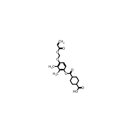 C=CC(=O)OCOc1ccc(OC(=O)C2CCC(C(=O)O)CC2)c(C)c1C